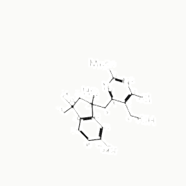 CSc1nc(Cl)c(CO)c(CC2(O)CC(C)(C)c3ccc(Br)cc32)n1